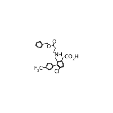 O=C(O)Cc1ccc(Cl)c(-c2ccc(C(F)(F)F)cc2)c1CNCCC(=O)OCc1ccccc1